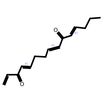 C=CC(=O)/C=C/CC/C=C/C(=O)/C=C/CCC